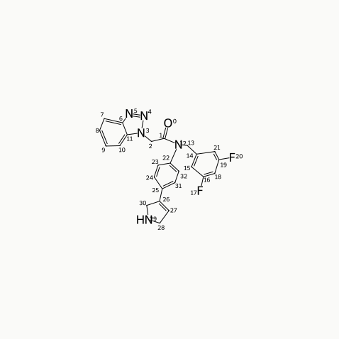 O=C(Cn1nnc2ccccc21)N(Cc1cc(F)cc(F)c1)c1ccc(C2=CCNC2)cc1